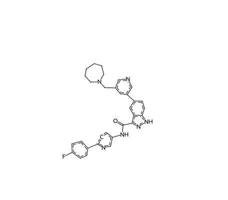 O=C(Nc1ccc(-c2ccc(F)cc2)nc1)c1n[nH]c2ccc(-c3cncc(CN4CCCCCC4)c3)cc12